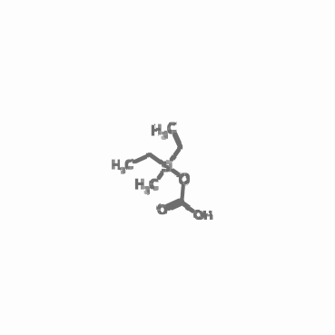 CC[Si](C)(CC)OC(=O)O